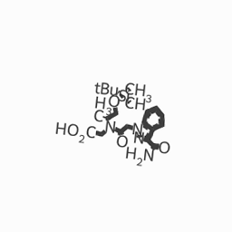 C[C@H](CO[Si](C)(C)C(C)(C)C)N(CC(=O)O)C(=O)Cn1nc(C(N)=O)c2ccccc21